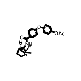 CC(=O)Oc1ccc(Oc2ccc(C(=O)N[C@@H]3C4CCN(CC4)[C@H]3C)cc2)cc1